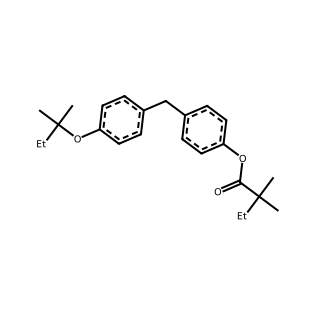 CCC(C)(C)Oc1ccc(Cc2ccc(OC(=O)C(C)(C)CC)cc2)cc1